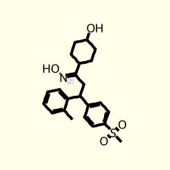 Cc1ccccc1C(C/C(=N/O)C1CCC(O)CC1)c1ccc(S(C)(=O)=O)cc1